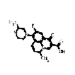 CC1CN(c2c(F)cc3c(=O)c(C(=O)O)cn4c3c2C=CC4C)CCN1